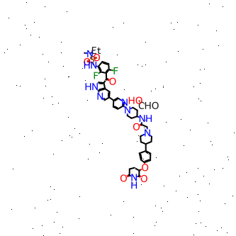 CCN(C)S(=O)(=O)Nc1ccc(F)c(C(=O)c2c[nH]c3ncc(-c4ccc(N5CCC(NC(=O)CN6CCC(c7ccc(OC8CCC(=O)NC8=O)cc7)CC6)CC5)nc4)cc23)c1F.O=CO